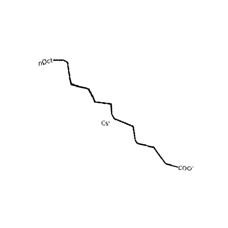 CCCCCCCCCCCCCCCCCCC(=O)[O-].[Cs+]